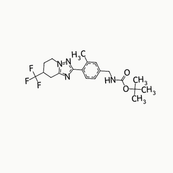 Cc1cc(CNC(=O)OC(C)(C)C)ccc1-c1nc2n(n1)CCC(C(F)(F)F)C2